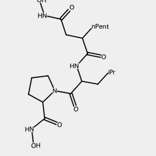 CCCCCC(CC(=O)NO)C(=O)NC(CC(C)C)C(=O)N1CCCC1C(=O)NO